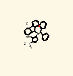 CC1=CC[C]([Zr+2](=[C](c2ccccc2)c2ccccc2)[CH]2c3ccccc3-c3ccccc32)=C1C(C)(C)C.[Cl-].[Cl-]